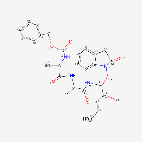 CC(NC(=O)C(NC(=O)OCc1ccccc1)C(C)C)C(=O)NC(ON1C(=O)Cc2ccccc21)C(=O)CCC(=O)O